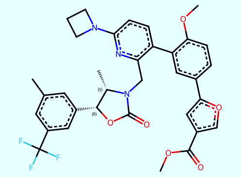 COC(=O)c1coc(-c2ccc(OC)c(-c3ccc(N4CCC4)nc3CN3C(=O)O[C@H](c4cc(C)cc(C(F)(F)F)c4)[C@@H]3C)c2)c1